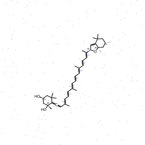 C\C(C=C=C1C(C)(C)C[C@H](O)C[C@@]1(C)O)=C/C=C/C(C)=C/C=C/C=C(C)/C=C/C=C(\C)[C@H]1C=C2C(C)(C)C[C@H](C)C[C@@]2(C)O1